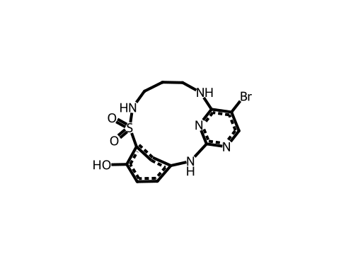 O=S1(=O)NCCCNc2nc(ncc2Br)Nc2ccc(O)c1c2